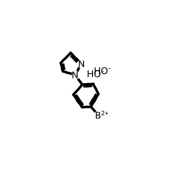 [B+2]c1ccc(-n2cccn2)cc1.[OH-].[OH-]